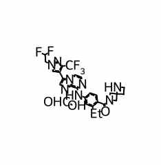 CCc1cc(Nc2nccn3c(-c4cn(CC(F)F)nc4C(F)(F)F)cnc23)ccc1C(=O)N1CC2(CCN2)C1.O=CO